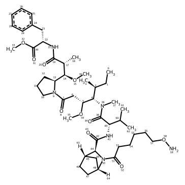 CC[C@H](C)[C@@H]([C@@H](CC(=O)N1CCC[C@H]1[C@H](OC)[C@@H](C)C(=O)N[C@@H](Cc1ccccc1)C(=O)OC)OC)N(C)C(=O)[C@@H](NC(=O)[C@@H]1[C@H]2CC[C@H](C2)N1C(=O)CCCCCON)C(C)C